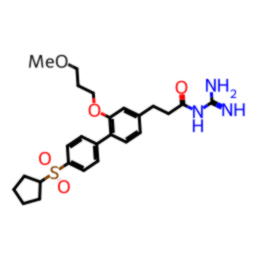 COCCCOc1cc(CCC(=O)NC(=N)N)ccc1-c1ccc(S(=O)(=O)C2CCCC2)cc1